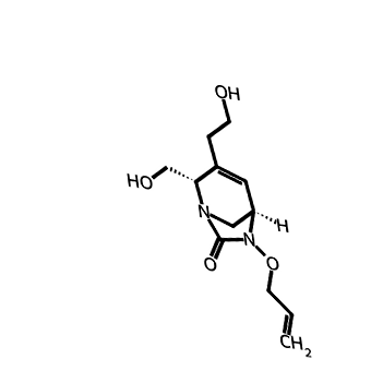 C=CCON1C(=O)N2C[C@H]1C=C(CCO)[C@H]2CO